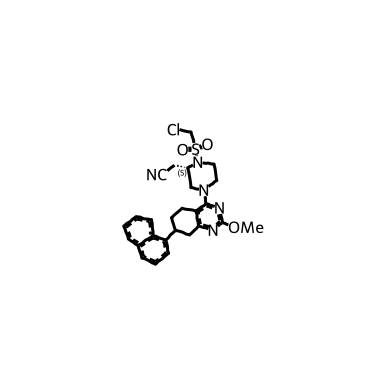 COc1nc2c(c(N3CCN(S(=O)(=O)CCl)[C@@H](CC#N)C3)n1)CCC(c1cccc3ccccc13)C2